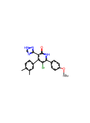 CCCCOc1ccc(-c2[nH]c(=O)c(-c3nc[nH]n3)c(-c3ccc(C)c(C)c3)c2Br)cc1